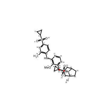 COc1c(Nc2ccc(S(=O)(=O)C3CC3)nc2C)ncnc1OC1CC2CC[C@@H](C1)N2S(=O)(=O)C1CC1